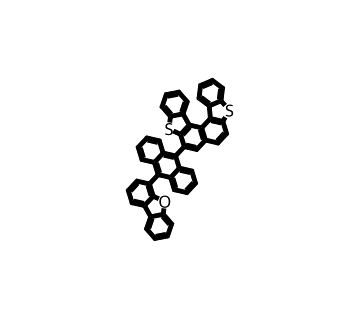 c1ccc2c(c1)oc1c(-c3c4ccccc4c(-c4cc5ccc6sc7ccccc7c6c5c5c4sc4ccccc45)c4ccccc34)cccc12